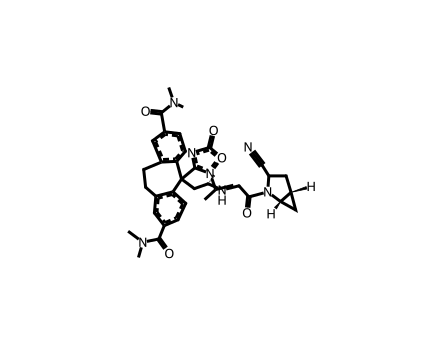 CC(C)n1oc(=O)nc1C1(C[C@H](C)NCC(=O)N2C(C#N)C[C@@H]3C[C@@H]32)c2ccc(C(=O)N(C)C)cc2CCc2cc(C(=O)N(C)C)ccc21